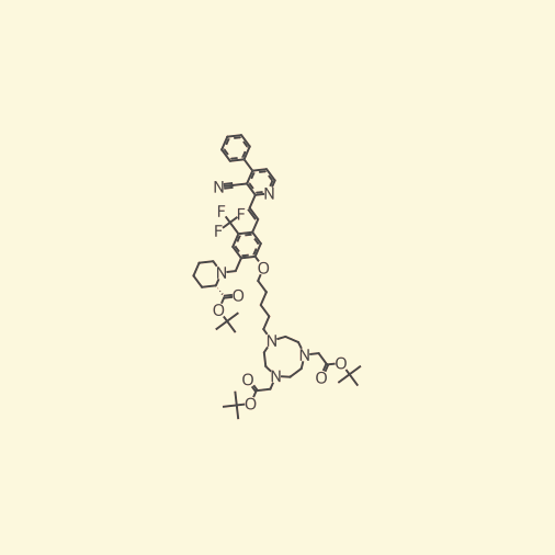 CC(C)(C)OC(=O)CN1CCN(CCCCCOc2cc(/C=C/c3nccc(-c4ccccc4)c3C#N)c(C(F)(F)F)cc2CN2CCCC[C@H]2C(=O)OC(C)(C)C)CCN(CC(=O)OC(C)(C)C)CC1